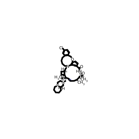 CO[C@]1(CN2CCN3CCCCC[C@@H]3C2)/C=C/C[C@H](C)[C@@H](C)S(=O)(=O)NC(=O)c2ccc3c(c2)N(CCCCc2cc(Cl)ccc2CO3)C[C@@H]2CC[C@H]21